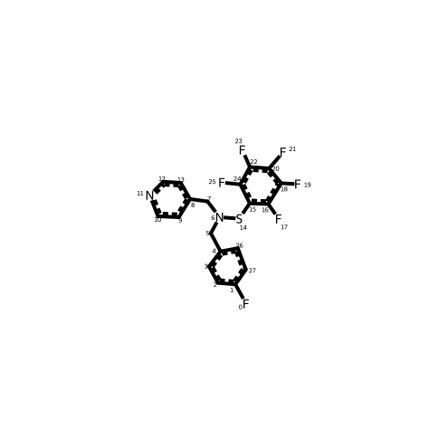 Fc1ccc(CN(Cc2ccncc2)Sc2c(F)c(F)c(F)c(F)c2F)cc1